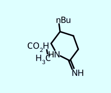 CC(=O)O.CCCCC1CCC(=N)NC1